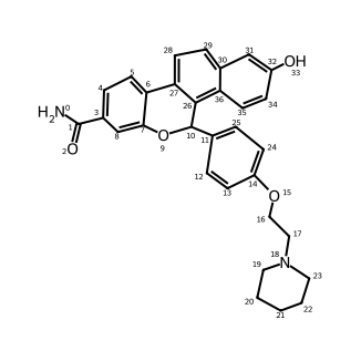 NC(=O)c1ccc2c(c1)OC(c1ccc(OCCN3CCCCC3)cc1)c1c-2ccc2cc(O)ccc12